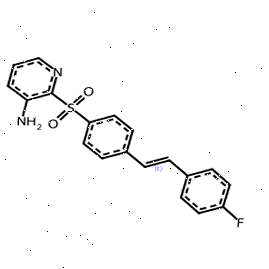 Nc1cccnc1S(=O)(=O)c1ccc(/C=C/c2ccc(F)cc2)cc1